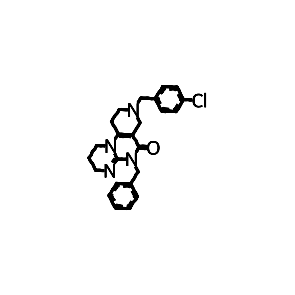 O=C1C2=C(CCN(Cc3ccc(Cl)cc3)C2)N2CCCN=C2N1Cc1ccccc1